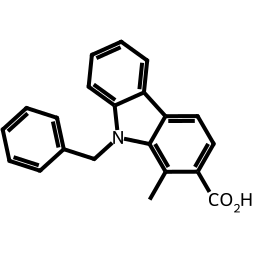 Cc1c(C(=O)O)ccc2c3ccccc3n(Cc3ccccc3)c12